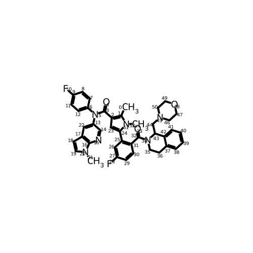 Cc1c(C(=O)N(c2ccc(F)cc2)c2cnc3c(ccn3C)c2)cc(-c2cc(F)ccc2C(=O)N2CCc3ccccc3C2CN2CCOCC2)n1C